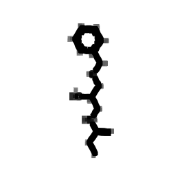 C=C(CC)NCC(O)COCc1ccccc1